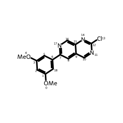 COc1cc(OC)cc(-c2cc3cnc(Cl)nc3cn2)c1